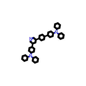 c1ccc(N(c2ccccc2)c2ccc(-c3ccc(-c4cncc(-c5ccc(N(c6ccccc6)c6ccccc6)cc5)c4)cc3)cc2)cc1